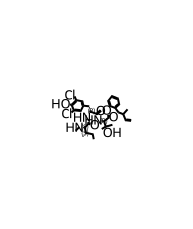 C=CC(C)C(OC(=O)[C@H](NC(=O)[C@@H](Cc1cc(Cl)c(O)c(Cl)c1)NC(=O)[C@@H](NC)[C@@H](C)CC)C(C)(C)O)c1ccccc1